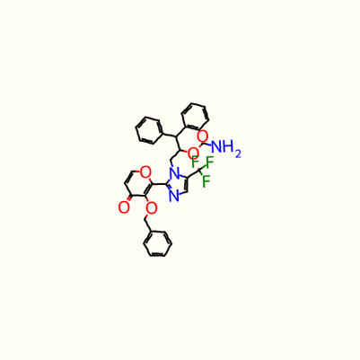 NC(=O)OC(Cn1c(C(F)(F)F)cnc1-c1occc(=O)c1OCc1ccccc1)C(c1ccccc1)c1ccccc1